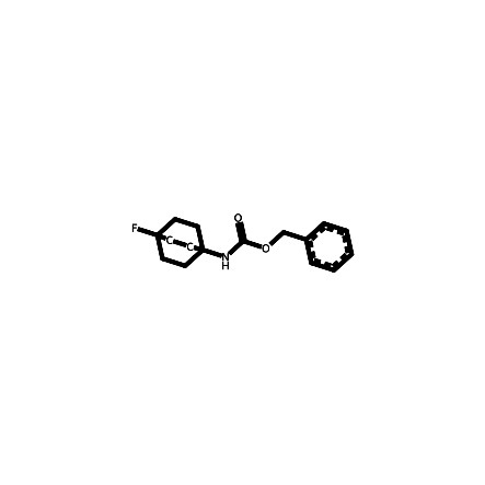 O=C(NC12CCC(F)(CC1)CC2)OCc1ccccc1